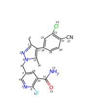 Cc1nn(Cc2cnc(F)c(C(N)=O)c2)c(C)c1-c1ccc(C#N)c(Cl)c1